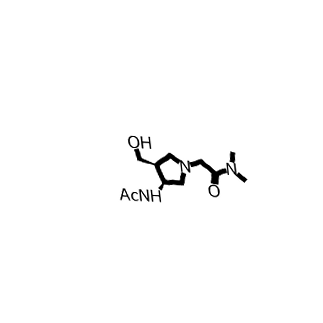 CC(=O)N[C@@H]1CN(CC(=O)N(C)C)C[C@@H]1CO